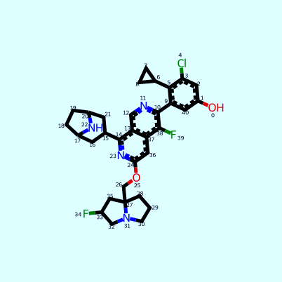 Oc1cc(Cl)c(C2CC2)c(-c2ncc3c(C4CC5CCC(C4)N5)nc(OCC45CCCN4CC(F)C5)cc3c2F)c1